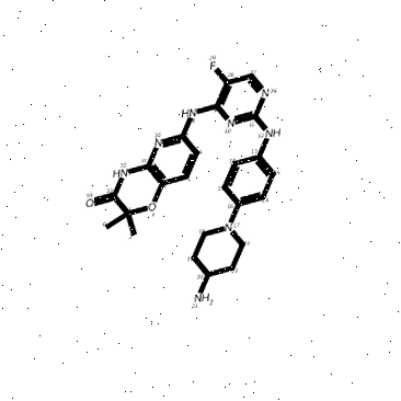 CC1(C)Oc2ccc(Nc3nc(Nc4ccc(N5CCC(N)CC5)cc4)ncc3F)nc2NC1=O